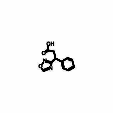 O=C(O)CC(c1ccccc1)c1ncon1